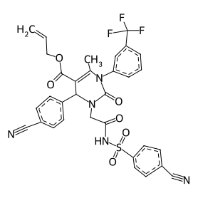 C=CCOC(=O)C1=C(C)N(c2cccc(C(F)(F)F)c2)C(=O)N(CC(=O)NS(=O)(=O)c2ccc(C#N)cc2)C1c1ccc(C#N)cc1